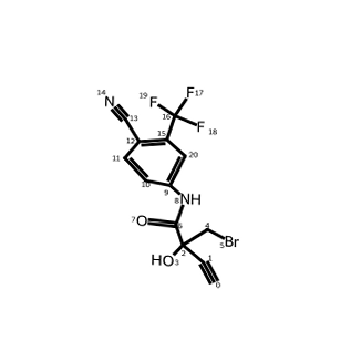 C#CC(O)(CBr)C(=O)Nc1ccc(C#N)c(C(F)(F)F)c1